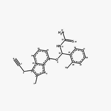 C#CCc1c(C)nc2c(OC(NC(N)=S)c3ccccc3C)cccn12